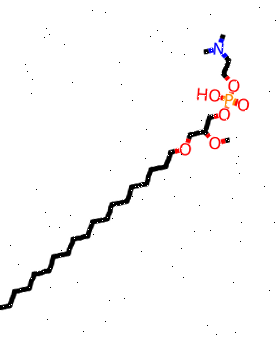 CCCCCCCCCCCCCCCCCCCCOCC(COP(=O)(O)OCCN(C)C)OC